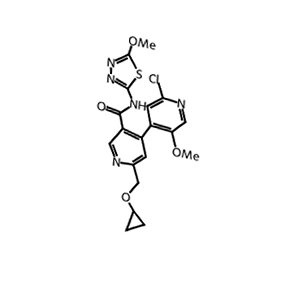 COc1nnc(NC(=O)c2cnc(COC3CC3)cc2-c2cc(Cl)ncc2OC)s1